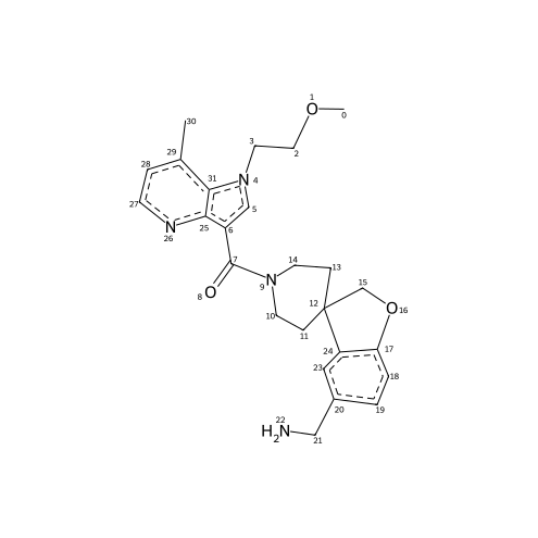 COCCn1cc(C(=O)N2CCC3(CC2)COc2ccc(CN)cc23)c2nccc(C)c21